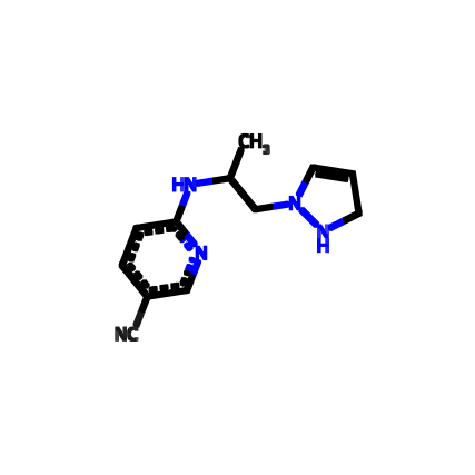 CC(CN1C=CCN1)Nc1ccc(C#N)cn1